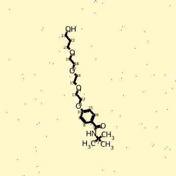 CC(C)(C)NC(=O)c1ccc(OCCOCCOCCOCCCO)cc1